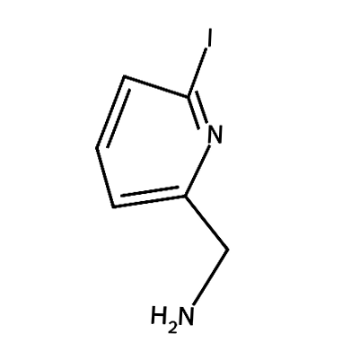 NCc1cccc(I)n1